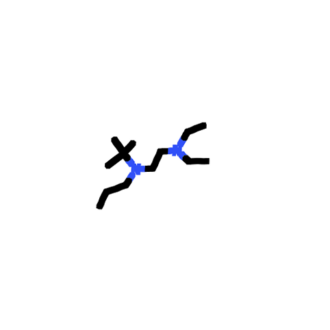 CCCN(CCN(CC)CC)C(C)(C)C